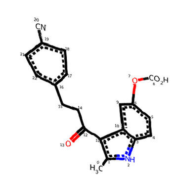 Cc1[nH]c2ccc(OC(=O)O)cc2c1C(=O)CCc1ccc(C#N)cc1